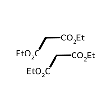 CCOC(=O)CC(=O)OCC.CCOC(=O)CC(=O)OCC